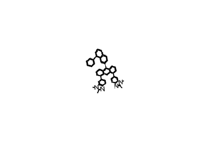 Cc1nc2ccc(-c3cccc4c(-c5ccc6cccc(-c7ccccc7)c6c5)c5cccc(-c6ccc7nc(C)n(C)c7c6)c5cc34)cc2n1C